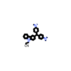 CN(C)c1ccc(C(=C2C=CC(=[N+](C)C)C=C2)c2ccc3c(c2)c2ccccc2n3CCC#N)cc1